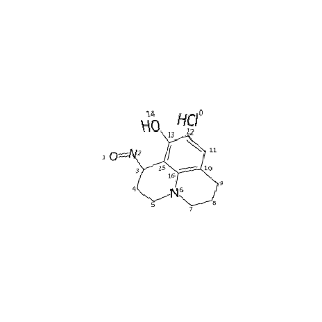 Cl.O=NC1CCN2CCCc3ccc(O)c1c32